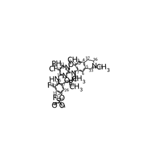 COc1cc2c(cc1Nc1ncc(Cl)c(Nc3c(F)cc(OS(=O)(=O)F)cc3OP(C)C)n1)CN(C)CC2.P